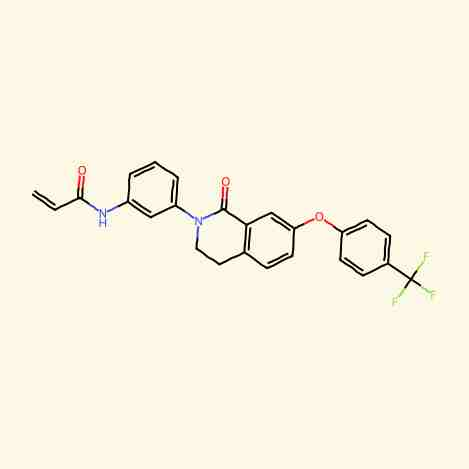 C=CC(=O)Nc1cccc(N2CCc3ccc(Oc4ccc(C(F)(F)F)cc4)cc3C2=O)c1